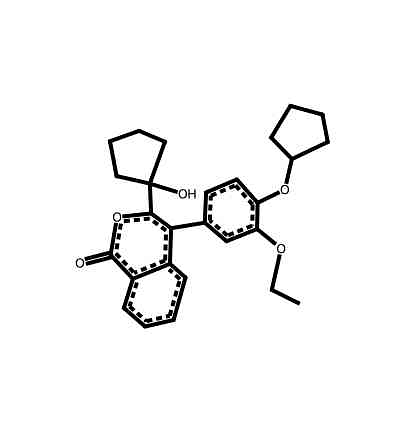 CCOc1cc(-c2c(C3(O)CCCC3)oc(=O)c3ccccc23)ccc1OC1CCCC1